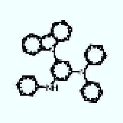 c1ccc(Nc2cc(N(c3ccccc3)c3ccccc3)cc(-n3c4ccccc4c4ccccc43)c2)cc1